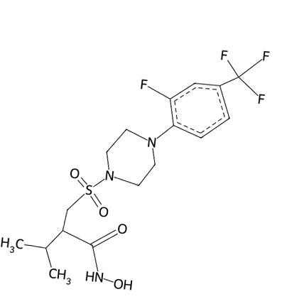 CC(C)C(CS(=O)(=O)N1CCN(c2ccc(C(F)(F)F)cc2F)CC1)C(=O)NO